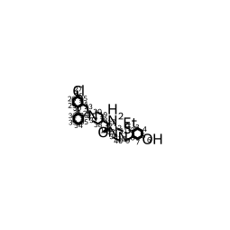 CCSc1ccc(O)cc1CN1CCN(C(=O)[C@H](N)C2CCN(CCc3cc(Cl)ccc3-c3ccccc3)CC2)CC1